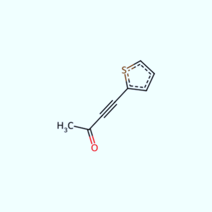 CC(=O)C#Cc1cccs1